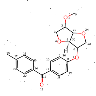 COC1CO[C@@H]2C(Oc3ccc(C(=O)c4ccc(C)cc4)cc3)COC12